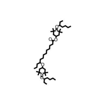 CCCCC(CC)ON1C(C)(C)CC(OC(=O)CCCCCCCCC(CCC)OC2CC(C)(C)N(OC(CC)CCCC)C(C)(C)C2)CC1(C)C